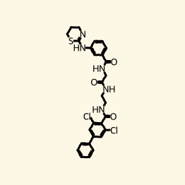 O=C(CNC(=O)c1cccc(NC2=NCCCS2)c1)NCCNC(=O)c1c(Cl)cc(-c2ccccc2)cc1Cl